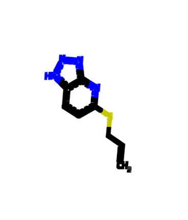 C=CCSc1ccc2[nH]nnc2n1